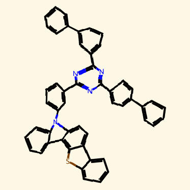 c1ccc(-c2ccc(-c3nc(-c4cccc(-c5ccccc5)c4)nc(-c4cccc(-n5c6ccccc6c6c7sc8ccccc8c7ccc65)c4)n3)cc2)cc1